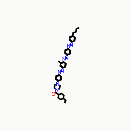 C=CC1CCC(C(=O)N2CCN(c3ccc(N=Nc4ccc(N=Nc5ccc(N=Nc6ccc(CCCC)cc6)cc5)c(C)c4)cc3)CC2)CC1